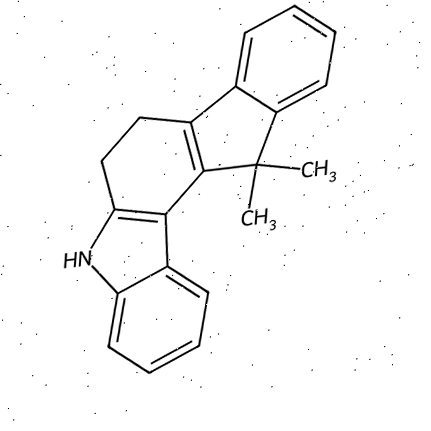 CC1(C)C2=C(CCc3[nH]c4ccccc4c32)c2ccccc21